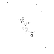 c1ccc(-c2nc(-c3ccc4c5ccccc5c5ccccc5c4c3)nc(-n3c4ccccc4c4c5c6ccccc6n(-c6ccc7c8ccccc8c8ccccc8c7c6)c5ccc43)n2)cc1